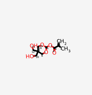 C=C(C)C(=O)OC1OCC(CO)(CO)CO1